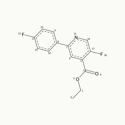 CCOC(=O)c1cc(-c2ccc(F)cc2)ncc1F